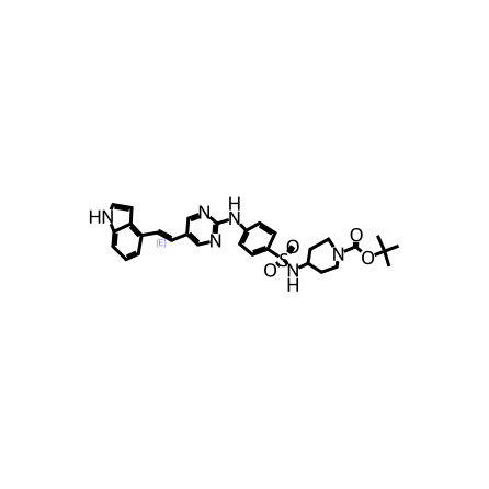 CC(C)(C)OC(=O)N1CCC(NS(=O)(=O)c2ccc(Nc3ncc(/C=C/c4cccc5[nH]ccc45)cn3)cc2)CC1